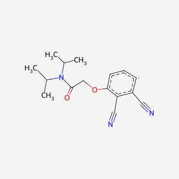 CC(C)N(C(=O)COc1cc[c]c(C#N)c1C#N)C(C)C